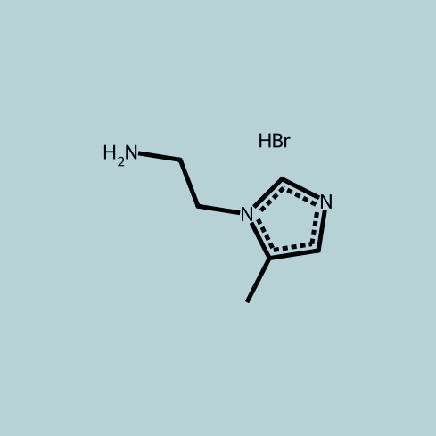 Br.Cc1cncn1CCN